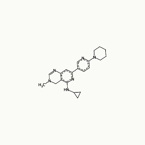 CN1C=Nc2cc(-c3ccc(N4CCCCC4)nc3)nc(NC3CC3)c2C1